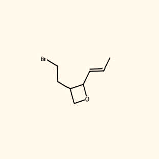 CC=CC1OCC1CCBr